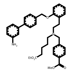 CCOC(=O)CCCCN(CCc1ccccc1OCc1ccc(-c2cccc(N)c2)cc1)Cc1ccc(C(=O)OC)cc1